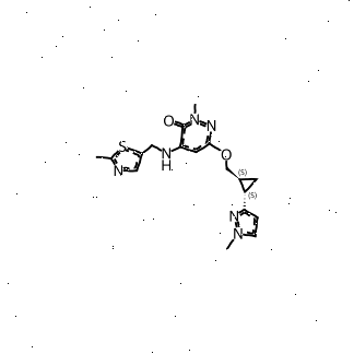 Cc1ncc(CNc2cc(OC[C@H]3C[C@@H]3c3ccn(C)n3)nn(C)c2=O)s1